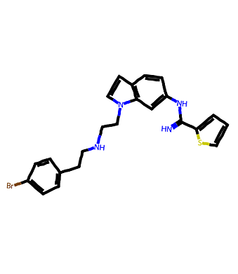 N=C(Nc1ccc2ccn(CCNCCc3ccc(Br)cc3)c2c1)c1cccs1